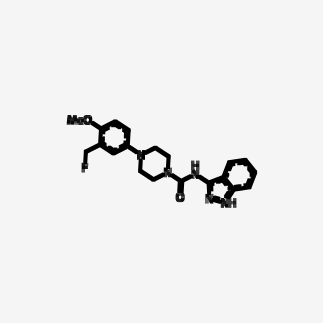 COc1ccc(N2CCN(C(=O)Nc3n[nH]c4ccccc34)CC2)cc1CF